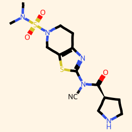 CN(C)S(=O)(=O)N1CCc2nc(N(C#N)C(=O)[C@H]3CCNC3)sc2C1